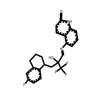 O=c1ccc2c(N=CC(O)(CC3CCCc4cc(F)ccc43)C(F)(F)F)cccc2[nH]1